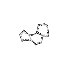 c1ccn2ccc3nccc-3c2c1